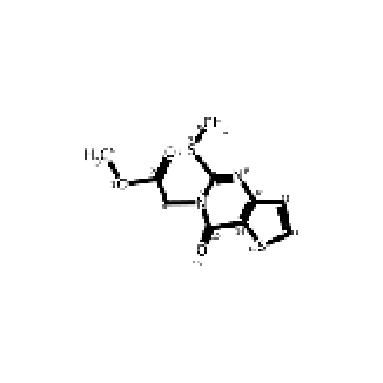 COC(=O)Cn1c(SC)nc2ccsc2c1=O